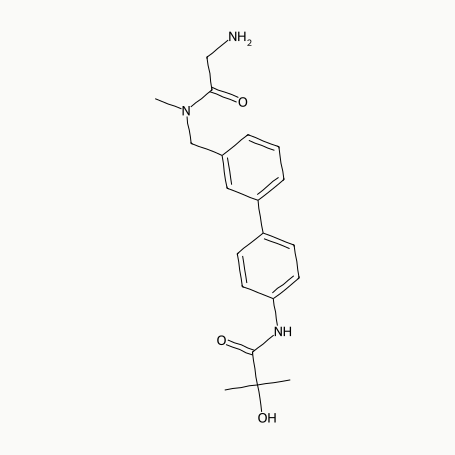 CN(Cc1cccc(-c2ccc(NC(=O)C(C)(C)O)cc2)c1)C(=O)CN